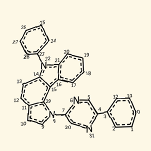 c1ccc(-c2cnc(-n3ccc4ccc5c(c6ccccc6n5-c5ccccc5)c43)cn2)cc1